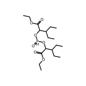 CCOC(=O)C(O[PH](=O)OC(C(=O)OCC)C(CC)CC)C(CC)CC